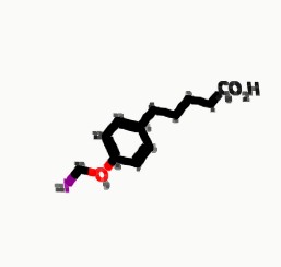 O=C(O)CCCCc1ccc(OCI)cc1